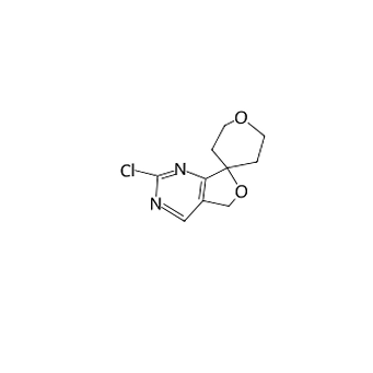 Clc1ncc2c(n1)C1(CCOCC1)OC2